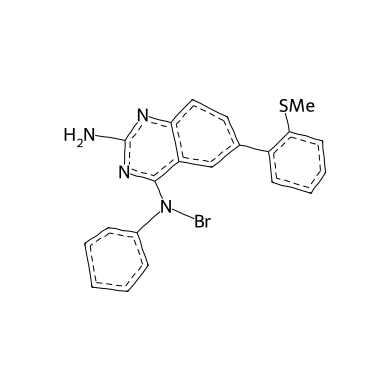 CSc1ccccc1-c1ccc2nc(N)nc(N(Br)c3ccccc3)c2c1